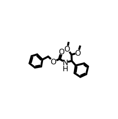 COC(OC)C(NC(=O)OCc1ccccc1)c1ccccc1